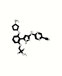 CC(F)(F)COc1cccc(O[C@@H]2CC[C@H](N)C2)c1-c1cc(Nc2cnc(C#N)cn2)n[nH]1